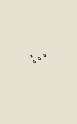 [Cr].[Cr].[Ni].[Ni]